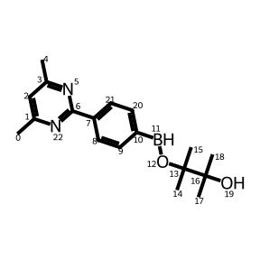 Cc1cc(C)nc(-c2ccc(BOC(C)(C)C(C)(C)O)cc2)n1